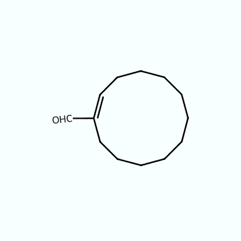 O=C/C1=C/CCCCCCCCCC1